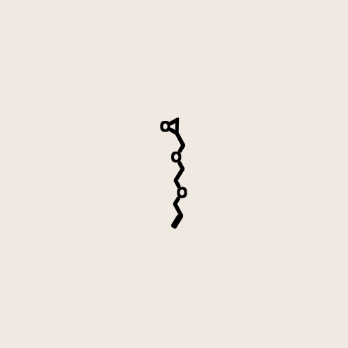 C=CCOCCOCC1CO1